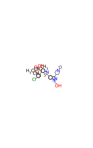 Cc1cc2nc(-c3ccc4c(c3)c(C3CCN(C5CCC5)CC3)nn4CCO)sc2c(-c2ccc(Cl)cc2)c1[C@H](OC(C)(C)C)C(=O)O